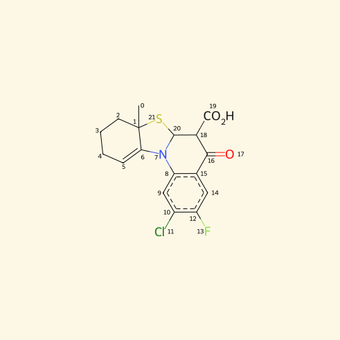 CC12CCCC=C1N1c3cc(Cl)c(F)cc3C(=O)C(C(=O)O)C1S2